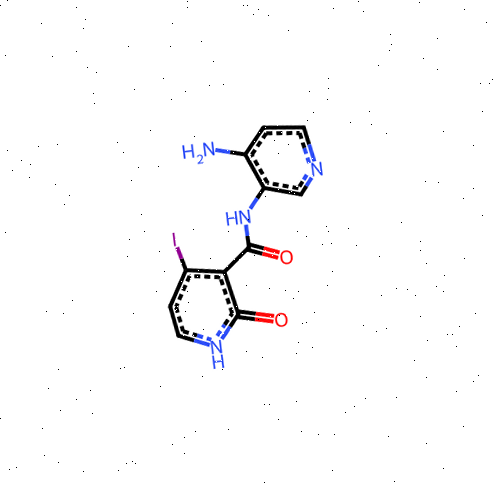 Nc1ccncc1NC(=O)c1c(I)cc[nH]c1=O